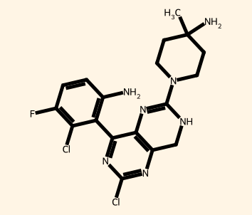 CC1(N)CCN(C2=Nc3c(nc(Cl)nc3-c3c(N)ccc(F)c3Cl)CN2)CC1